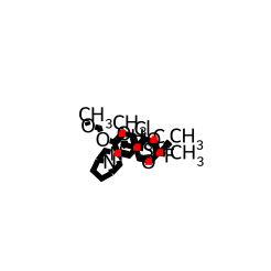 COCOc1c(C)cc(S(=O)(=O)CC(C)(C)C)cc1N1C2CCC1CN(C(=O)c1ccc(F)cc1Cl)C2